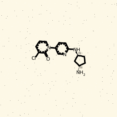 N[C@H]1CC[C@H](Nc2ccc(-n3cccc(Cl)c3=O)cn2)C1